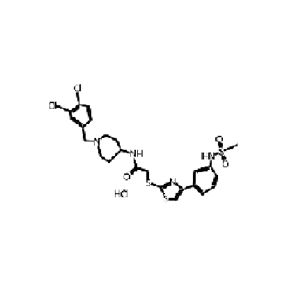 CS(=O)(=O)Nc1cccc(-c2csc(SCC(=O)NC3CCN(Cc4ccc(Cl)c(Cl)c4)CC3)n2)c1.Cl